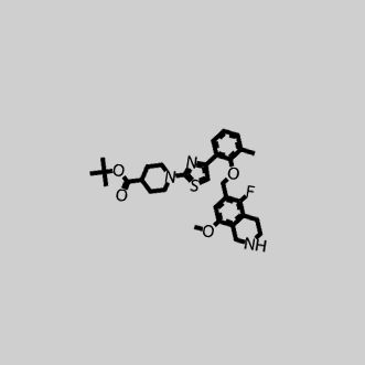 COc1cc(COc2c(C)cccc2-c2csc(N3CCC(C(=O)OC(C)(C)C)CC3)n2)c(F)c2c1CNCC2